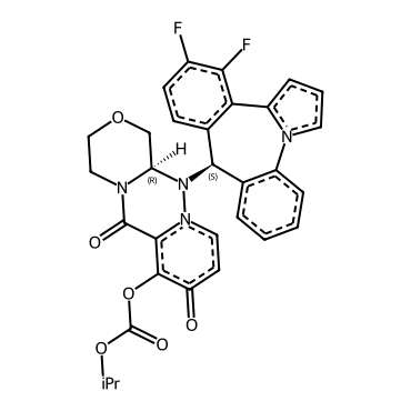 CC(C)OC(=O)Oc1c2n(ccc1=O)N([C@@H]1c3ccccc3-n3cccc3-c3c1ccc(F)c3F)[C@@H]1COCCN1C2=O